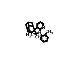 Cc1ccccc1N1c2ncccc2C2(C3CC4CC(C3)CC2C4)C1(C)C